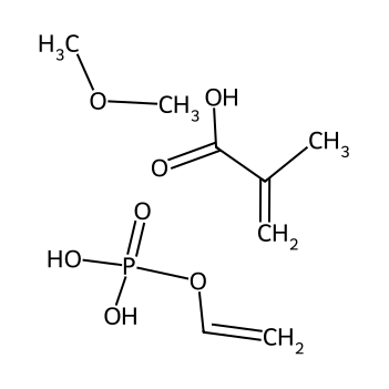 C=C(C)C(=O)O.C=COP(=O)(O)O.COC